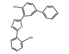 Oc1ccccc1-c1nnc(-c2cc(-c3ccccc3)ccc2O)o1